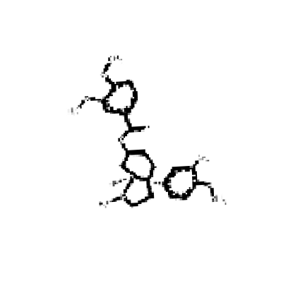 COc1ccc([C@@]23CC=C(OC(=O)c4ccc(OC)c(OC)c4)C[C@@H]2N(C)CC3)cc1C